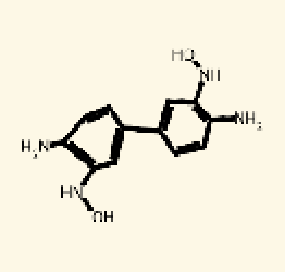 Nc1ccc(-c2ccc(N)c(NO)c2)cc1NO